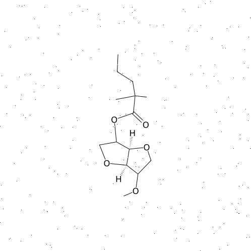 CCCC(C)(C)C(=O)OC1CO[C@@H]2C(OC)CO[C@H]12